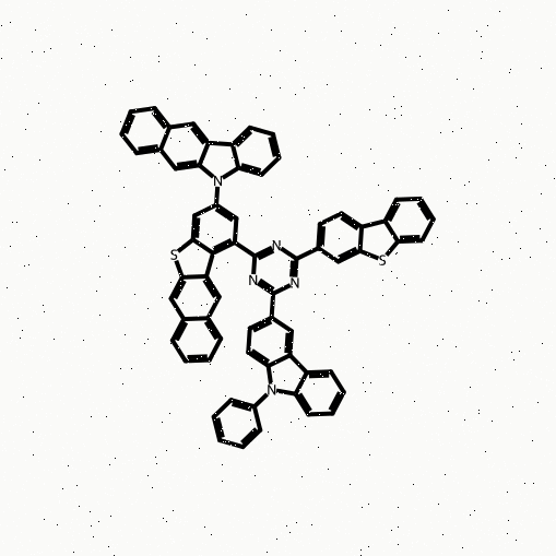 c1ccc(-n2c3ccccc3c3cc(-c4nc(-c5ccc6c(c5)sc5ccccc56)nc(-c5cc(-n6c7ccccc7c7cc8ccccc8cc76)cc6sc7cc8ccccc8cc7c56)n4)ccc32)cc1